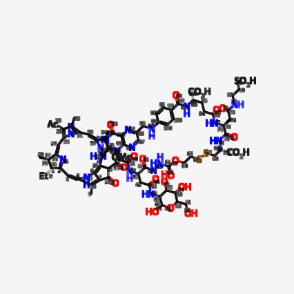 CC[C@H]1c2cc3[nH]c4c(c3C)C(=O)C(C(=O)OC)c4c3nc(cc4[nH]c(cc(n2)[C@@H]1C)c(C(C)=O)c4C)[C@@H](C)[C@@H]3CCC(=O)NC(CC(=O)NC1C(O)OC(CO)C(O)C1O)C(=O)NNC(=O)OCCSSC[C@H](NC(=O)[C@H](CC(=O)NCCS(=O)(=O)O)NC(=O)CC[C@H](NC(=O)c1ccc(NCc2cnc3nc(N)[nH]c(=O)c3n2)cc1)C(=O)O)C(=O)O